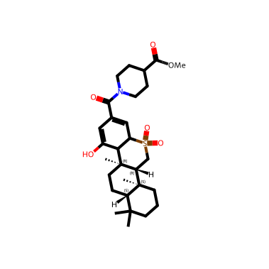 COC(=O)C1CCN(C(=O)C2=CC3C(C(O)=C2)[C@]2(C)CC[C@H]4C(C)(C)CCC[C@]4(C)[C@H]2CS3(=O)=O)CC1